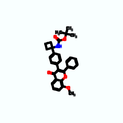 COc1cccc2c(=O)c(-c3ccc(C4(NC(=O)OC(C)(C)C)CCC4)cc3)c(-c3ccccc3)oc12